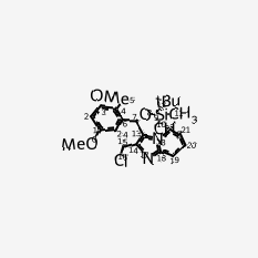 COc1ccc(OC)c(C(O[Si](C)(C)C(C)(C)C)c2c(CCl)nc3ccccn23)c1